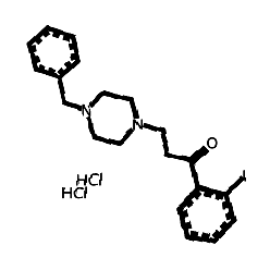 Cl.Cl.O=C(CCN1CCN(Cc2ccccc2)CC1)c1ccccc1I